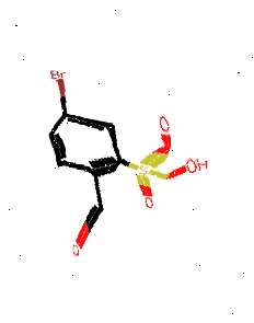 O=Cc1ccc(Br)cc1S(=O)(=O)O